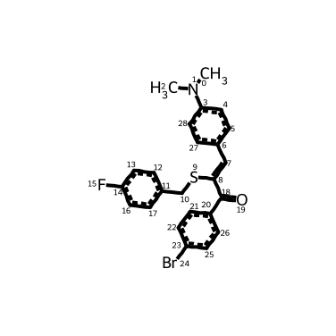 CN(C)c1ccc(C=C(SCc2ccc(F)cc2)C(=O)c2ccc(Br)cc2)cc1